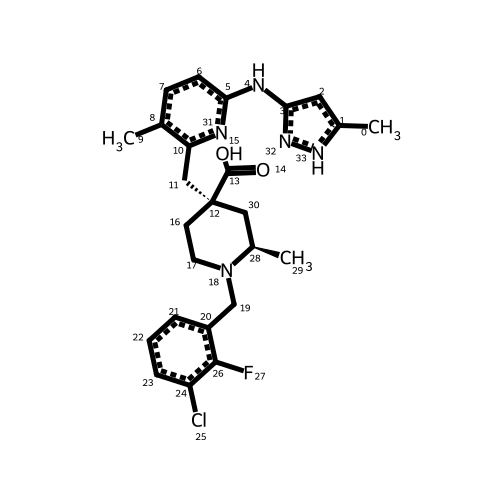 Cc1cc(Nc2ccc(C)c(C[C@@]3(C(=O)O)CCN(Cc4cccc(Cl)c4F)[C@H](C)C3)n2)n[nH]1